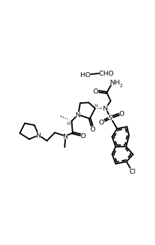 C[C@@H](C(=O)N(C)CCN1CCCC1)N1CC[C@H](N(CC(N)=O)S(=O)(=O)c2ccc3cc(Cl)ccc3c2)C1=O.O=CO